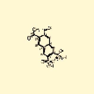 O=Ic1cc2cc(S(=O)(=O)O)c(S(=O)(=O)O)cc2cc1C(=O)O